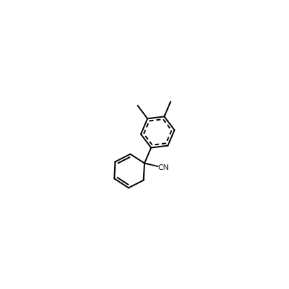 Cc1ccc(C2(C#N)C=CC=CC2)cc1C